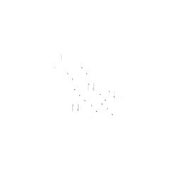 CC(c1ccccn1)N(C)c1nc2nc(C(=N)NC(=O)O)nc(N[C@H](C)C3CCC3)c2n1C[C@H]1CC[C@H](C)CC1